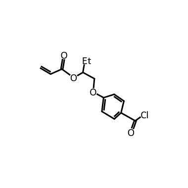 C=CC(=O)OC(CC)COc1ccc(C(=O)Cl)cc1